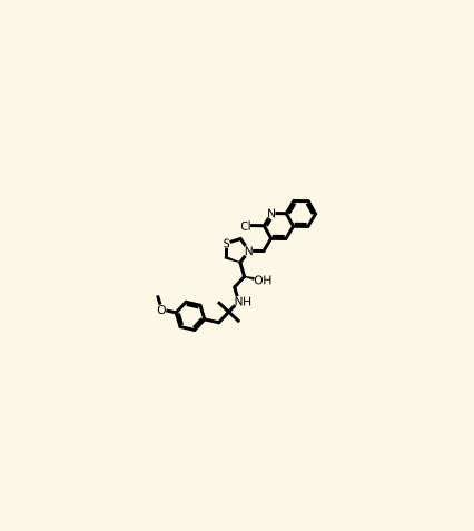 COc1ccc(CC(C)(C)NC[C@H](O)[C@H]2CSCN2Cc2cc3ccccc3nc2Cl)cc1